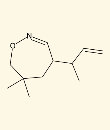 C=CC(C)C1C=NOCC(C)(C)C1